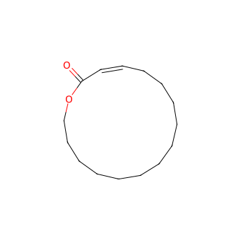 O=C1C=CCCCCCCCCCCCCO1